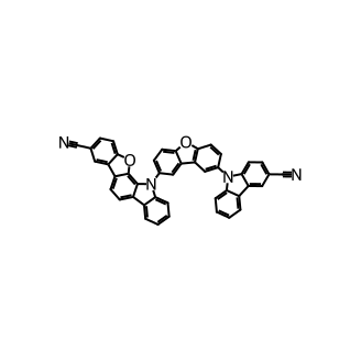 N#Cc1ccc2oc3c(ccc4c5ccccc5n(-c5ccc6oc7ccc(-n8c9ccccc9c9cc(C#N)ccc98)cc7c6c5)c43)c2c1